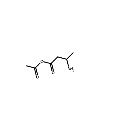 CC(=O)OC(=O)CC(C)N